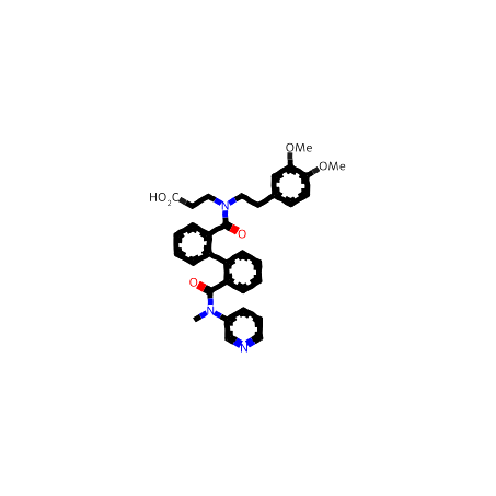 COc1ccc(CCN(CCC(=O)O)C(=O)c2ccccc2-c2ccccc2C(=O)N(C)c2cccnc2)cc1OC